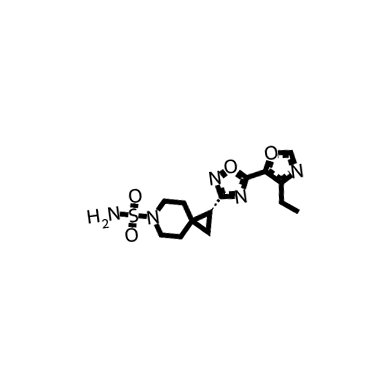 CCc1ncoc1-c1nc([C@@H]2CC23CCN(S(N)(=O)=O)CC3)no1